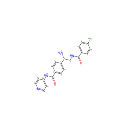 NC(CNC(=O)c1ccc(Cl)cc1)c1ccc(C(=O)Nc2ccncc2)cc1